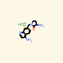 Cl.Cl.Nc1ccnc2cc(CN3CCC(N)C3=O)ccc12